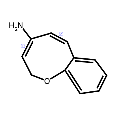 NC1=C/COc2ccccc2/C=C\1